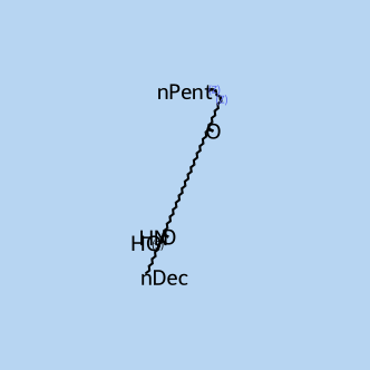 CCCCC/C=C\C/C=C\CCCCCCCC(=O)CCCCCCCCCCCCCCCCCCCCCCCCCCCCCC(=O)NC[C@@H](O)CCCCCCCCCCCCCCCCCC